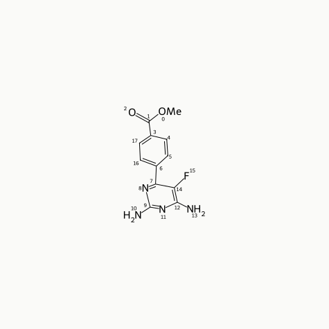 COC(=O)c1ccc(-c2nc(N)nc(N)c2F)cc1